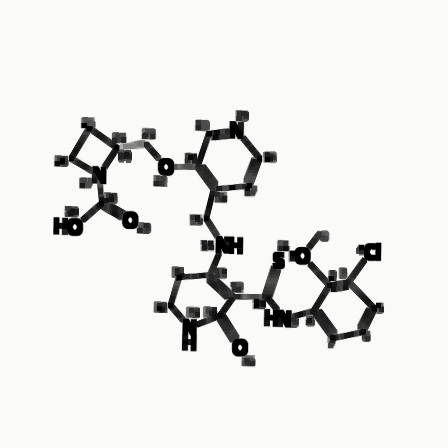 COc1c(Cl)cccc1NC(=S)C1=C(NCc2ccncc2OC[C@H]2CCN2C(=O)O)CCNC1=O